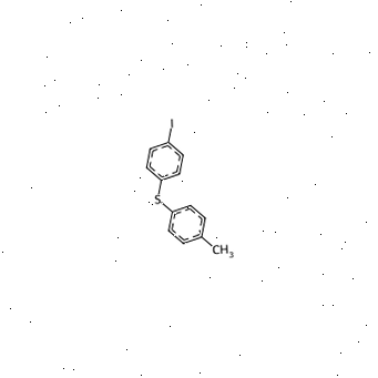 Cc1ccc(Sc2ccc(I)cc2)cc1